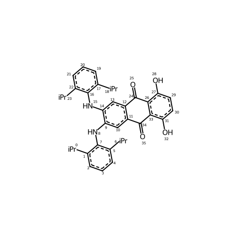 CC(C)c1cccc(C(C)C)c1Nc1cc2c(cc1Nc1c(C(C)C)cccc1C(C)C)C(=O)c1c(O)ccc(O)c1C2=O